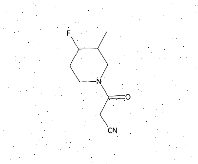 CC1CN(C(=O)CC#N)CCC1F